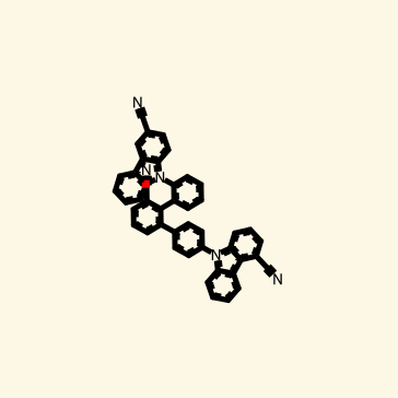 N#Cc1ccc2c(c1)c1ccccc1n2-c1ccccc1-c1c(C#N)cccc1-c1ccc(-n2c3ccccc3c3c(C#N)cccc32)cc1